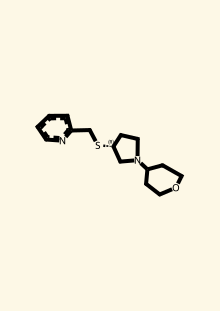 c1ccc(CS[C@@H]2CCN(C3CCOCC3)C2)nc1